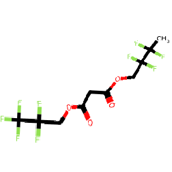 CC(F)(F)C(F)(F)COC(=O)CC(=O)OCC(F)(F)C(F)(F)F